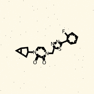 O=c1c(=O)n(C2CC3CC3C2)ccn1Cc1nnc(-c2ccccc2F)s1